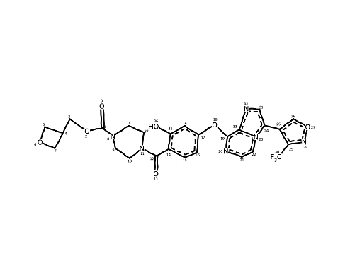 O=C(OCC1COC1)N1CCN(C(=O)c2ccc(Oc3nccn4c(-c5conc5C(F)(F)F)cnc34)cc2O)CC1